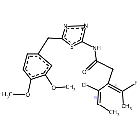 C/C=C(Cl)\C(CC(=O)Nc1nnc(Cc2ccc(OC)c(OC)c2)s1)=C(/C)F